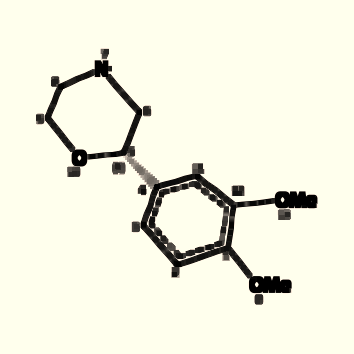 COc1ccc([C@H]2C[N]CCO2)cc1OC